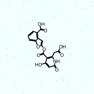 O=C(O)Cc1[nH]c(=O)cc(O)c1C(=O)Oc1cc2c(C(=O)O)cccc2o1